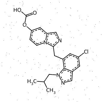 CC(C)Cn1ncc2cc(Cl)cc(Cc3ncc4cc(OC(=O)O)ccn34)c21